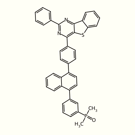 CP(C)(=O)c1cccc(-c2ccc(-c3ccc(-c4nc(-c5ccccc5)nc5c4sc4ccccc45)cc3)c3ccccc23)c1